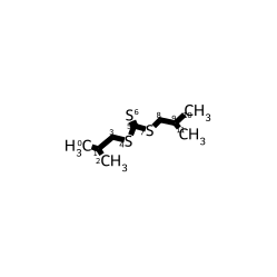 CC(C)CSC(=S)SCC(C)C